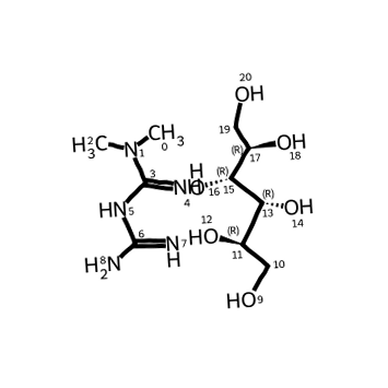 CN(C)C(=N)NC(=N)N.OC[C@@H](O)[C@@H](O)[C@H](O)[C@H](O)CO